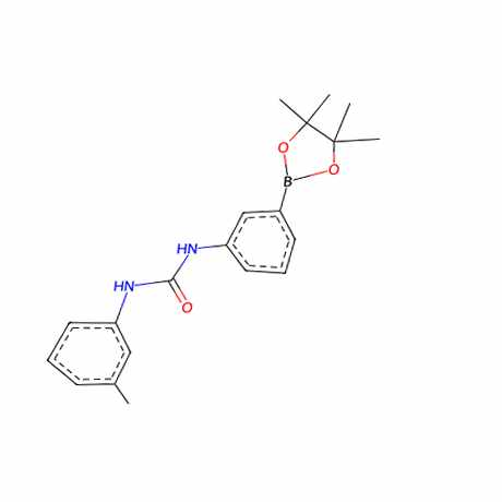 Cc1cccc(NC(=O)Nc2cccc(B3OC(C)(C)C(C)(C)O3)c2)c1